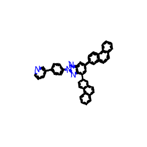 c1cncc(-c2ccc(-n3nc4cc(-c5ccc6c(ccc7ccccc76)c5)cc(-c5ccc6c(ccc7ccccc76)c5)c4n3)cc2)c1